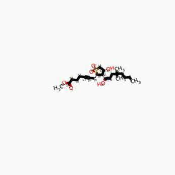 CCCCC(C)(C)C/C=C(/O)[C@H]1[C@@H](O)CS(=O)(=O)[C@H]1CC#CCCCC(=O)OC